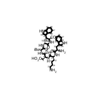 CC[C@H](C)[C@H](NC(=O)[C@H](CC(=O)O)NC(=O)[C@H](CCCCN)NC(=O)[C@H](N)Cc1c[nH]c2ccccc12)C(=O)N[C@H](C(=O)N[C@@H](Cc1c[nH]c2ccccc12)C(=O)O)[C@@H](C)CC